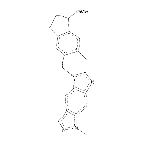 COC1CCc2cc(Cn3cnc4cc5c(cnn5C)cc43)c(C)cc21